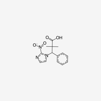 CC(C)(C(=O)O)C(c1ccccc1)n1ccnc1[N+](=O)[O-]